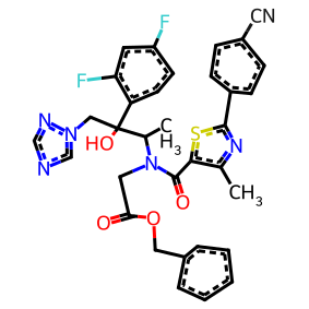 Cc1nc(-c2ccc(C#N)cc2)sc1C(=O)N(CC(=O)OCc1ccccc1)C(C)C(O)(Cn1cncn1)c1ccc(F)cc1F